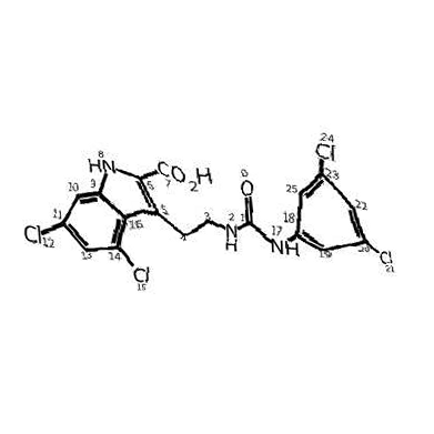 O=C(NCCc1c(C(=O)O)[nH]c2cc(Cl)cc(Cl)c12)Nc1cc(Cl)cc(Cl)c1